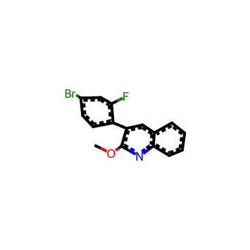 COc1nc2ccccc2cc1-c1ccc(Br)cc1F